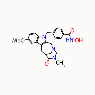 COc1ccc2c(c1)c1c(n2Cc2ccc(C(=O)NO)cc2)CN2CC(C1)C(=O)N(C)C2